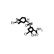 CCn1cc2cc(NS(=O)(=O)c3cc(Cl)c(O)c(C(N)=O)c3)ccc2n1